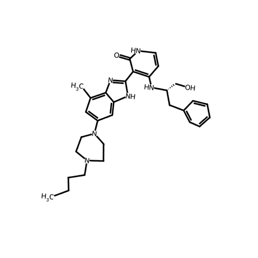 CCCCN1CCN(c2cc(C)c3nc(-c4c(N[C@H](CO)Cc5ccccc5)cc[nH]c4=O)[nH]c3c2)CC1